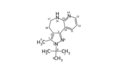 Cc1c2c(nn1C(C)(C)C)-c1cccnc1NCC2